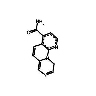 NC(=O)c1ccnc2c1C=CC1=CN=CCN12